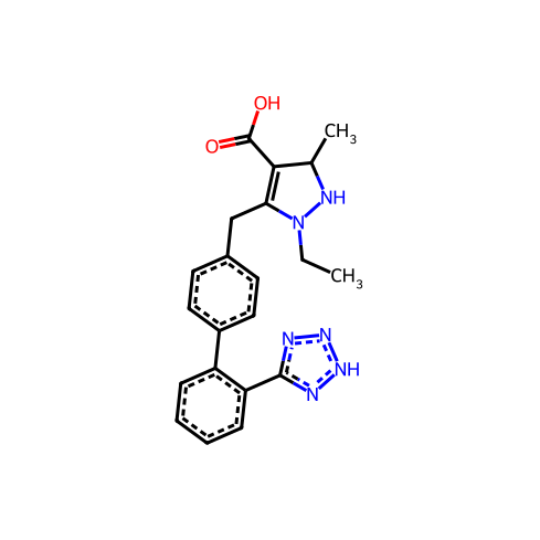 CCN1NC(C)C(C(=O)O)=C1Cc1ccc(-c2ccccc2-c2nn[nH]n2)cc1